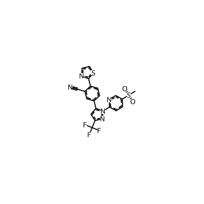 CS(=O)(=O)c1ccc(-n2nc(C(F)(F)F)cc2-c2ccc(-c3nccs3)c(C#N)c2)nc1